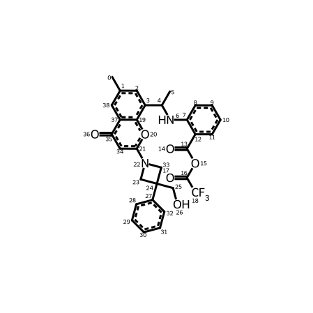 Cc1cc(C(C)Nc2ccccc2C(=O)OC(=O)C(F)(F)F)c2oc(N3CC(CO)(c4ccccc4)C3)cc(=O)c2c1